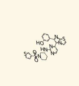 O=S(=O)(c1ccsc1)N1CCC[C@@H](Nc2nccc(-c3c(-c4cccc(O)c4)nc4sccn34)n2)C1